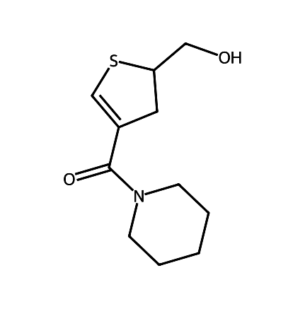 O=C(C1=CSC(CO)C1)N1CCCCC1